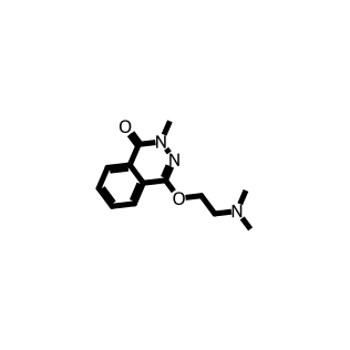 CN(C)CCOc1nn(C)c(=O)c2ccccc12